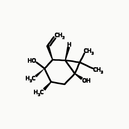 C=C[C@H]1[C@@H]2C(C)(C)[C@]2(O)C[C@@H](C)[C@@]1(C)O